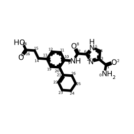 NC(=O)c1c[nH]c(C(=O)Nc2ccc(CCC(=O)O)cc2C2=CCCCC2)n1